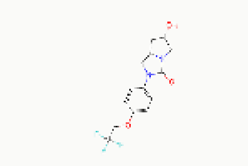 O=C1N(c2ccc(OCC(F)(F)F)cc2)CC2C[C@H](O)CN12